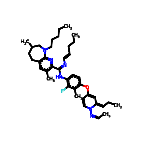 C/C=N\N1C=CC(Oc2ccc(N/C(=N/C=C/CCC)c3nc4c(cc3C)CCC(C)CN4CCCCC)c(F)c2C)=C/C1=C\CC